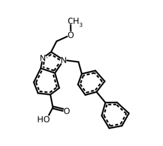 COCc1nc2ccc(C(=O)O)cc2n1Cc1ccc(-c2ccccc2)cc1